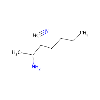 C#N.CCCCCC(C)N